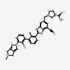 Cc1c(-c2nc3cc(CN4CC[C@@H](C(=O)O)C4)cc(C#N)c3o2)cccc1-c1cccc(-n2cc3c(n2)CN(C)C3)c1Cl